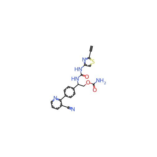 C#Cc1nc(NC(=O)NC(COC(N)=O)c2ccc(-c3ncccc3C#N)cc2)cs1